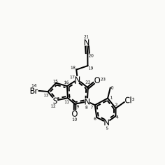 Cc1c(Cl)cncc1-n1c(=O)c2sc(Br)cc2n(CCC#N)c1=O